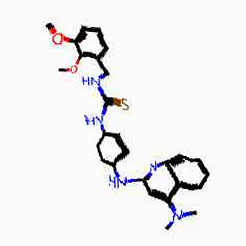 COc1cccc(CNC(=S)NC2CCC(Nc3cc(N(C)C)c4ccccc4n3)CC2)c1OC